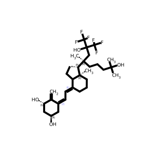 C=C1/C(=C\C=C2/CCC[C@@]3(C)C2CC[C@@H]3[C@](C)(CCCC(C)(C)O)CC(O)(C(F)(F)F)C(F)(F)F)C[C@@H](O)C[C@@H]1O